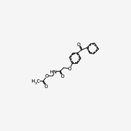 CC(=O)OCNC(=O)COc1ccc(C(=O)c2ccccc2)cc1